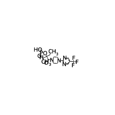 CCC(CC)(O[PH](=O)O)C(=O)N1CCN(c2ncc(C(F)(F)F)cn2)CC1